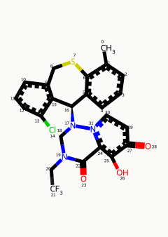 Cc1cccc2c1SCc1cccc(Cl)c1[C@@H]2N1CN(CC(F)(F)F)C(=O)c2c(O)c(=O)ccn21